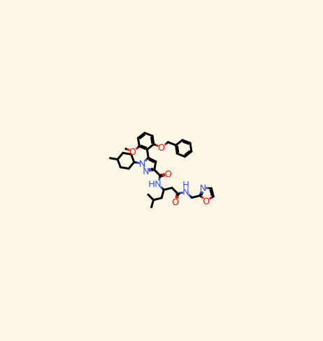 COc1cccc(OCc2ccccc2)c1-c1cc(C(=O)NC(CC(=O)NCc2ncco2)CC(C)C)nn1C1CCC(C)CC1